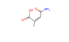 CC(=CC(N)=O)C(=O)O